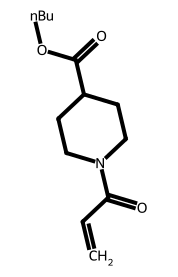 C=CC(=O)N1CCC(C(=O)OCCCC)CC1